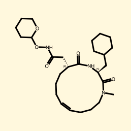 CN1CCCC=CCCC[C@H](CC(=O)NOC2CCCCO2)C(=O)N[C@@H](CC2CCCCC2)C1=O